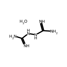 N=C(N)NNC(=N)N.O